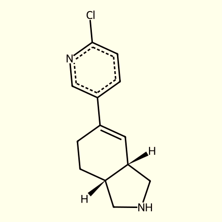 Clc1ccc(C2=C[C@@H]3CNC[C@@H]3CC2)cn1